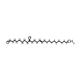 CCCCCCCCCCC/C=C/CCCC(=O)CCCCCCCC=O